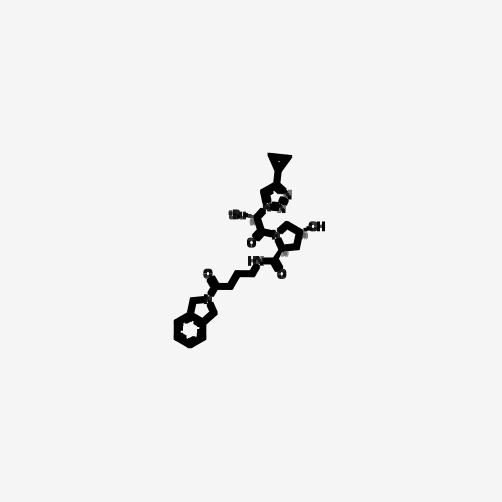 CC(C)(C)[C@@H](C(=O)N1C[C@H](O)C[C@H]1C(=O)NCCCC(=O)N1Cc2ccccc2C1)n1cc(C2CC2)nn1